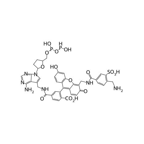 NCc1ccc(C(=O)NCc2c3oc4cc(O)ccc4c(-c4cc(C(=O)NCc5cn(C6CCC(COP(O)OPO)O6)c6ncnc(N)c56)ccc4C(=O)O)c-3ccc2=O)cc1S(=O)(=O)O